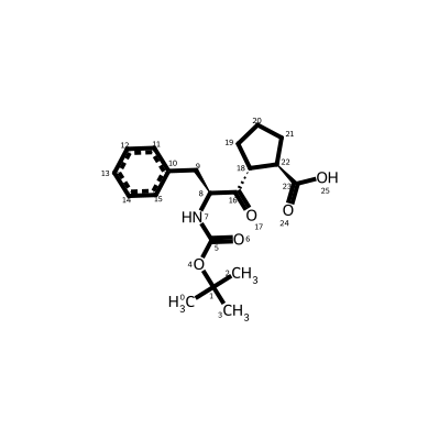 CC(C)(C)OC(=O)N[C@@H](Cc1ccccc1)C(=O)[C@@H]1CCC[C@H]1C(=O)O